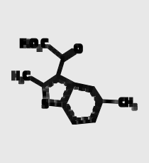 CCOC(=O)C(=O)c1c(C)sc2ccc(C)cc12